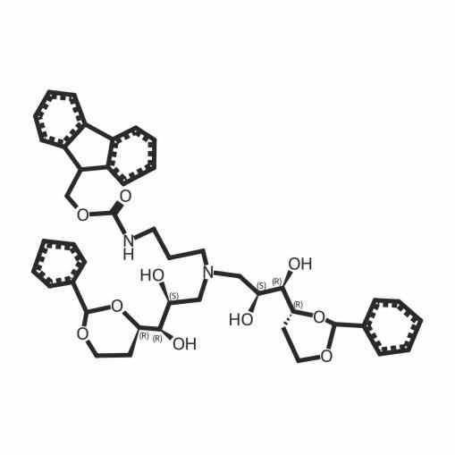 O=C(NCCCN(C[C@H](O)[C@@H](O)[C@H]1CCOC(c2ccccc2)O1)C[C@H](O)[C@@H](O)[C@H]1CCOC(c2ccccc2)O1)OCC1c2ccccc2-c2ccccc21